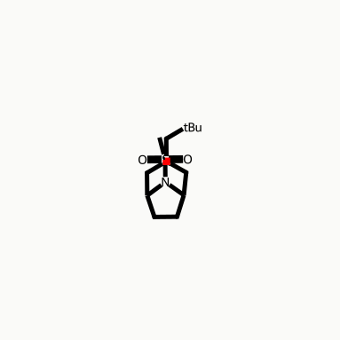 CC(C)(C)CN1CC2CCC(C1)N2S(C)(=O)=O